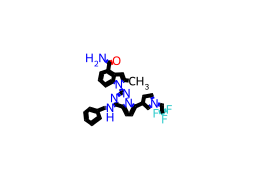 Cc1cc2c(C(N)=O)cccc2n1-c1nc(NCc2ccccc2)c2ccc(C3CCN(CC(F)(F)F)C3)n2n1